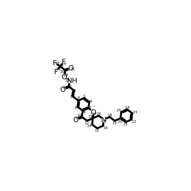 O=C(/C=C/c1ccc2c(c1)C(=O)CC1(CCCN(CCc3ccccc3)C1)O2)NOC(=O)C(F)(F)F